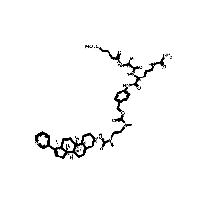 CC(C)[C@H](NC(=O)CCCC(=O)O)C(=O)N[C@@H](CCCNC(N)=O)C(=O)Nc1ccc(COC(=O)N(C)CCN(C)C(=O)O[C@H]2CC[C@@]3(C)C(=CC[C@@H]4[C@@H]3CC[C@]3(C)C(c5cccnc5)=CC[C@@H]43)C2)cc1